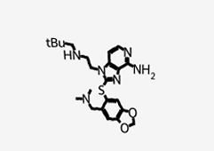 CN(C)Cc1cc2c(cc1Sc1nc3c(N)nccc3n1CCNCC(C)(C)C)OCO2